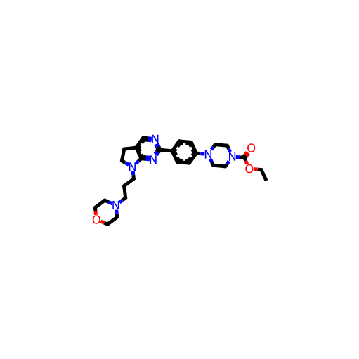 CCOC(=O)N1CCN(c2ccc(-c3ncc4c(n3)N(CCCN3CCOCC3)CC4)cc2)CC1